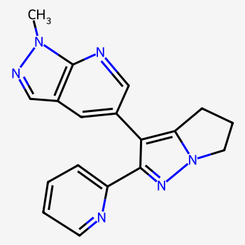 Cn1ncc2cc(-c3c(-c4ccccn4)nn4c3CCC4)cnc21